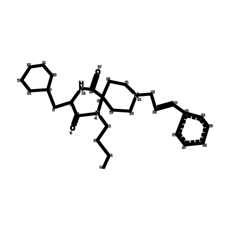 CCCCN1C(=O)C(CC2CCCCC2)NC(=O)C12CCN(CC=Cc1ccccc1)CC2